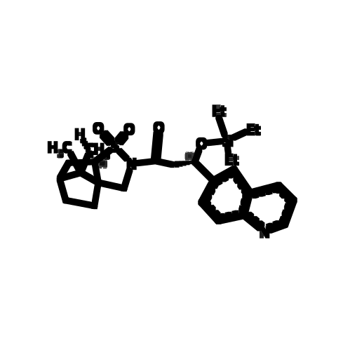 CC[Si](CC)(CC)O[C@@H](CC(=O)N1CC23CCC(C[C@H]2S1(=O)=O)C3(C)C)c1ccc2ncccc2c1